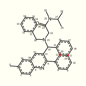 Cc1ccc2nc(-c3ccccc3)c(C(c3ccccc3)N(CC(=O)N(C)C(C)C)Cc3ccccc3)cc2c1